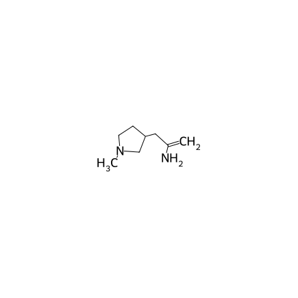 C=C(N)CC1CCN(C)C1